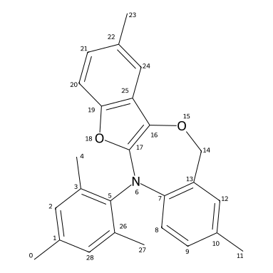 Cc1cc(C)c(N2c3ccc(C)cc3COc3c2oc2ccc(C)cc32)c(C)c1